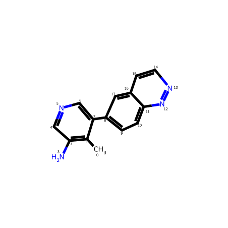 Cc1c(N)cncc1-c1ccc2nnccc2c1